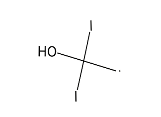 [CH2]C(O)(I)I